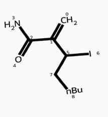 C=C(C(N)=O)C(I)CCCCC